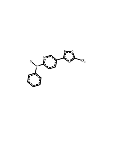 [O-][S+](c1ccccc1)c1ccc(-c2noc(C(F)(F)F)n2)cn1